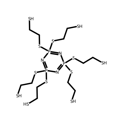 SCCSP1(SCCS)=NP(SCCS)(SCCS)=NP(SCCS)(SCCS)=N1